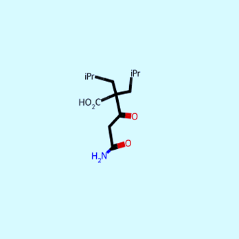 CC(C)CC(CC(C)C)(C(=O)O)C(=O)CC(N)=O